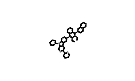 C=Cc1c(C=C)c(-c2ccc3c(c2)c2cc(-c4ccccn4)ncc2n3-c2ccccc2)c2ccccc2c1-c1ccc2ccccc2c1